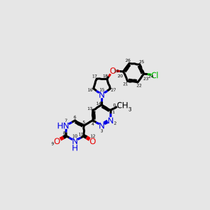 Cc1nnc(-c2c[nH]c(=O)[nH]c2=O)cc1N1CCC(Oc2ccc(Cl)cc2)C1